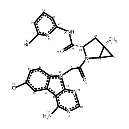 C[C@]12CC1N(C(=O)Cn1c3ccc(Cl)cc3c3c(N)ncnc31)[C@H](C(=O)Nc1cccc(Br)n1)C2